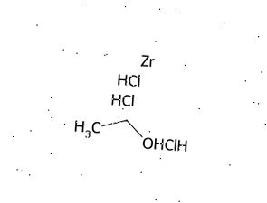 CCO.Cl.Cl.Cl.[Zr]